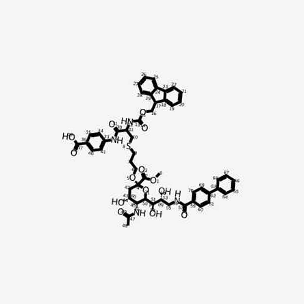 COC(=O)[C@@]1(OCCCSCC(NC(=O)OCC2c3ccccc3-c3ccccc32)C(=O)Nc2ccc(C(=O)O)cc2)C[C@@H](O)[C@@H](NC(C)=O)C([C@H](O)[C@H](O)CNC(=O)c2ccc(-c3ccccc3)cc2)O1